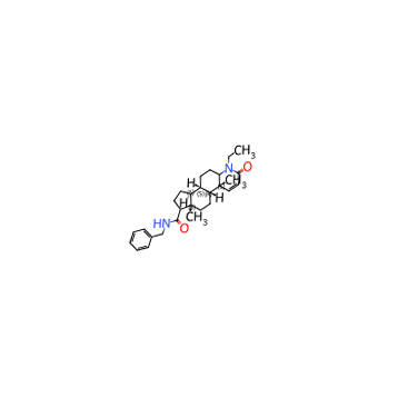 CCN1C(=O)C=C[C@@]2(C)C1CC[C@@H]1[C@H]2CC[C@]2(C)C(C(=O)NCc3ccccc3)CC[C@@H]12